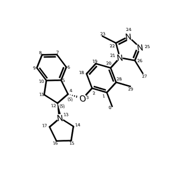 Cc1c(O[C@H]2c3ccccc3C[C@@H]2N2CCCC2)ccc(-n2c(C)nnc2C)c1C